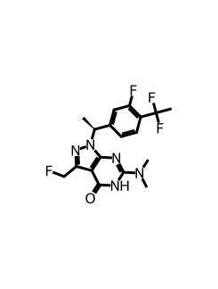 C[C@@H](c1ccc(C(C)(F)F)c(F)c1)n1nc(CF)c2c(=O)[nH]c(N(C)C)nc21